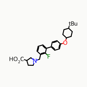 CC(C)(C)C1CCC(Oc2ccc(-c3cccc(CN4CCC(C(=O)O)C4)c3F)cc2)CC1